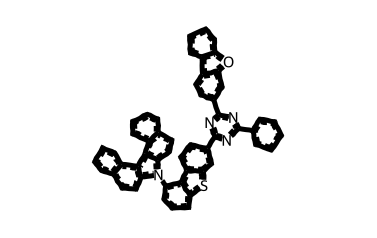 c1ccc(-c2nc(-c3ccc4c(c3)oc3ccccc34)nc(-c3ccc4c(c3)sc3cccc(-n5c6ccc7ccccc7c6c6c7ccccc7ccc65)c34)n2)cc1